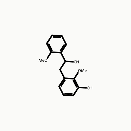 COc1ccccc1C(C#N)Cc1cccc(O)c1OC